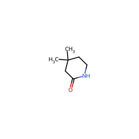 CC1(C)CCNC(=O)C1